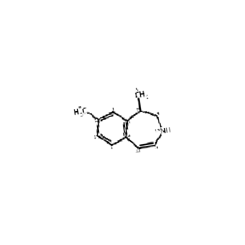 Cc1ccc2c(c1)C(C)CNC=C2